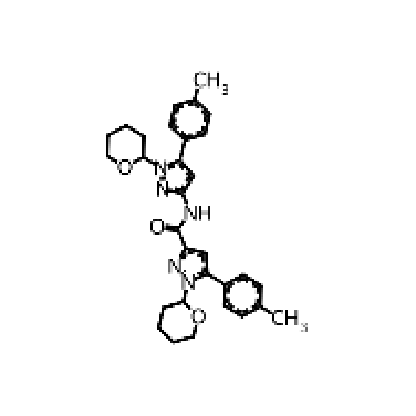 Cc1ccc(-c2cc(NC(=O)c3cc(-c4ccc(C)cc4)n(C4CCCCO4)n3)nn2C2CCCCO2)cc1